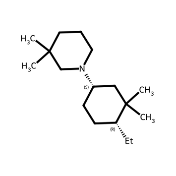 CC[C@@H]1CC[C@H](N2CCCC(C)(C)C2)CC1(C)C